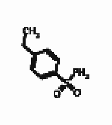 CCc1ccc(S(=O)(=O)P)cc1